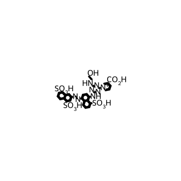 O=C(O)c1ccc[n+](-c2nc(NCCO)nc(Nc3ccc(N=Nc4cc(S(=O)(=O)O)c5cccc(S(=O)(=O)O)c5c4)c4cccc(S(=O)(=O)O)c34)n2)c1